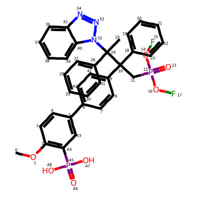 COc1ccc(-c2ccc(C(CP(=O)(OF)OF)(c3ccccc3)C(C)(c3ccccc3)n3nnc4ccccc43)cc2)cc1P(=O)(O)O